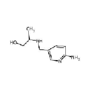 CC(CO)NCc1ccc(N)nc1